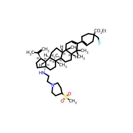 C=C(C)[C@@H]1CC[C@]2(NCCN3CCC(S(C)(=O)=O)CC3)CC[C@]3(C)[C@H](CC[C@@H]4C5(C)CC=C(C6=CCC(CF)(C(=O)OCC)CC6)C(C)(C)[C@@H]5CC[C@]43C)[C@@H]12